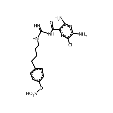 N=C(NCCCCc1ccc(OS(=O)(=O)O)cc1)NC(=O)c1nc(Cl)c(N)nc1N